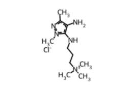 Cc1nn(C)c(NCCC[N+](C)(C)C)c1N.[Cl-]